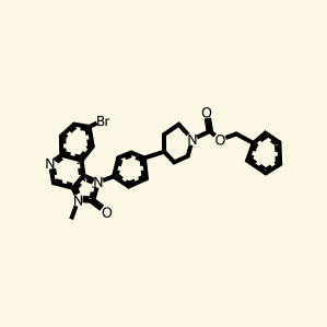 Cn1c(=O)n(-c2ccc(C3CCN(C(=O)OCc4ccccc4)CC3)cc2)c2c3cc(Br)ccc3ncc21